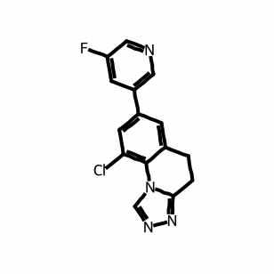 Fc1cncc(-c2cc(Cl)c3c(c2)CCc2nncn2-3)c1